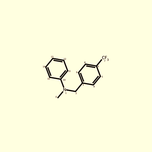 CN(Cc1ccc(C(F)(F)F)cc1)c1ccccc1